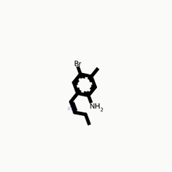 CC/C=C\c1cc(Br)c(C)cc1N